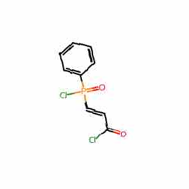 O=C(Cl)C=CP(=O)(Cl)c1ccccc1